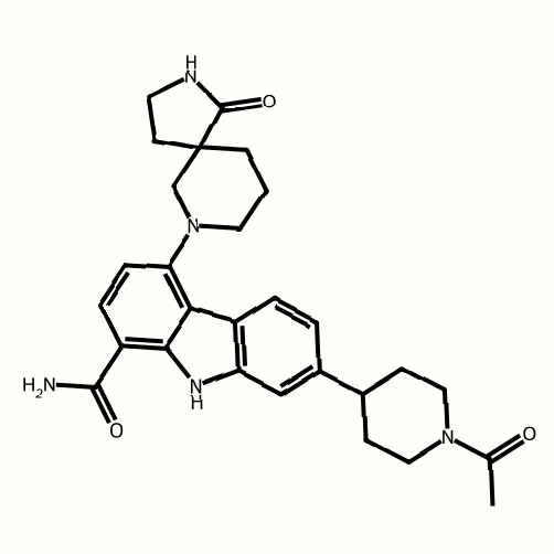 CC(=O)N1CCC(c2ccc3c(c2)[nH]c2c(C(N)=O)ccc(N4CCCC5(CCNC5=O)C4)c23)CC1